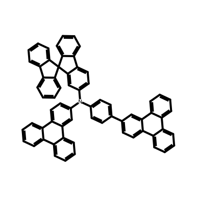 c1ccc2c(c1)-c1ccccc1C21c2ccccc2-c2ccc(N(c3ccc(-c4ccc5c6ccccc6c6ccccc6c5c4)cc3)c3ccc4c5ccccc5c5ccccc5c4c3)cc21